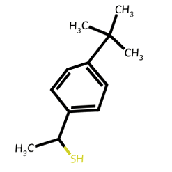 CC(S)c1ccc(C(C)(C)C)cc1